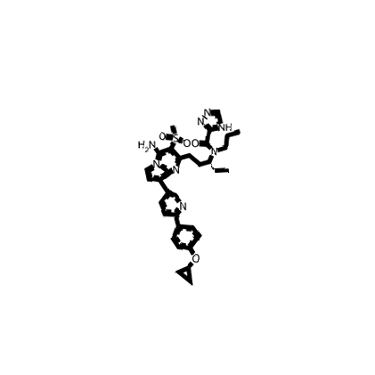 CCCN(C(=O)c1nnc[nH]1)[C@H](CC)CCc1nc2c(-c3ccc(-c4ccc(OC5CC5)cc4)nc3)ccn2c(N)c1S(C)(=O)=O